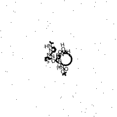 CC(C)Nc1cccc(-c2nc(O[C@@H]3C[C@H]4C(=O)N[C@]5(C(=O)O)C[C@H]5/C=C\CCCCC[C@H](NC(=O)OC(C)(C)C)C(=O)N4C3)c3sccc3n2)n1